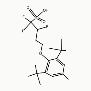 Cc1cc(C(C)(C)C)c(OCCC(F)C(F)(F)S(=O)(=O)O)c(C(C)(C)C)c1